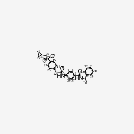 CC(NC(=O)c1ccc(NC(=O)Cc2ccc(S(=O)(=O)CC3CC3)cc2)cc1)c1ccccc1